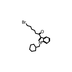 O=C(CCCCCBr)c1cn(CC2CCCCC2)c2ccccc12